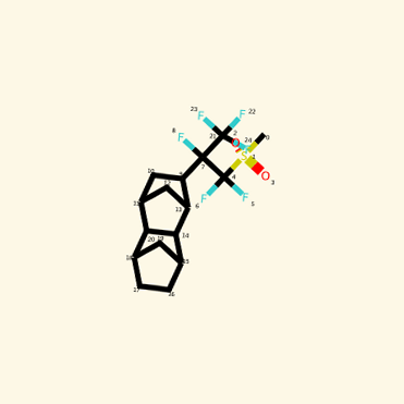 CS(=O)(=O)C(F)(F)C(F)(C1CC2CC1C1C3CCC(C3)C21)C(F)(F)F